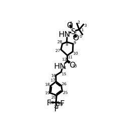 CC(C)(C)S(=O)(=O)NC1CCC(C(=O)NCCc2ccc(C(F)(F)F)cc2)CC1